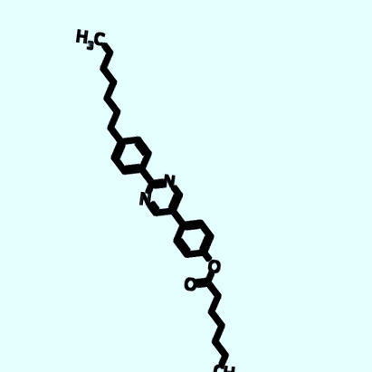 CCCCCCCc1ccc(-c2ncc(-c3ccc(OC(=O)CCCCCC)cc3)cn2)cc1